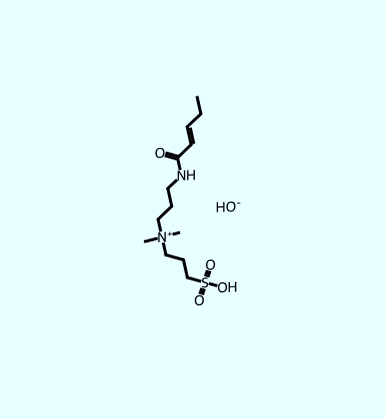 CCC=CC(=O)NCCC[N+](C)(C)CCCS(=O)(=O)O.[OH-]